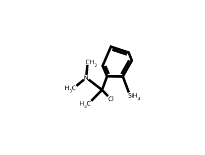 CN(C)C(C)(Cl)c1ccccc1[SiH3]